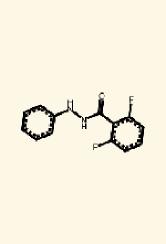 O=C(NNc1ccccc1)c1c(F)cccc1F